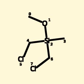 CO[Si](C)(CCl)CCl